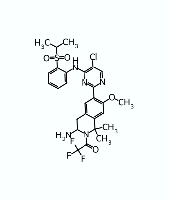 COc1cc2c(cc1-c1ncc(Cl)c(Nc3ccccc3S(=O)(=O)C(C)C)n1)CC(N)N(C(=O)C(F)(F)F)C2(C)C